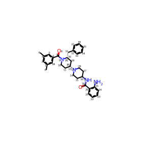 Cc1cc(C)cc(C(=O)N2CC[C@@H](N3CCC(NC(=O)c4ccccc4N)CC3)C[C@H]2Cc2ccccc2)c1